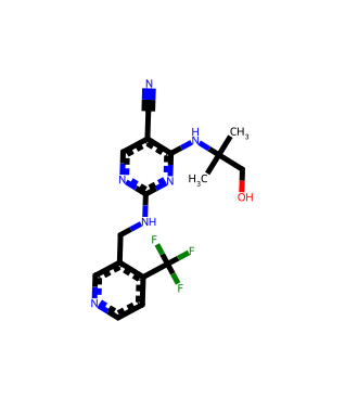 CC(C)(CO)Nc1nc(NCc2cnccc2C(F)(F)F)ncc1C#N